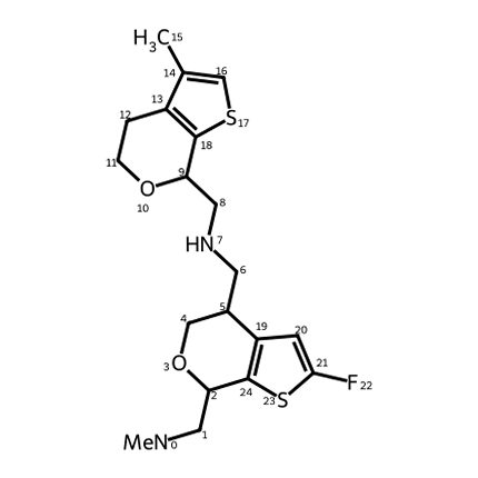 CNCC1OCC(CNCC2OCCc3c(C)csc32)c2cc(F)sc21